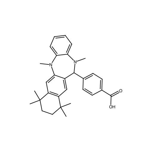 CN1c2cc3c(cc2C(c2ccc(C(=O)O)cc2)N(C)c2ccccc21)C(C)(C)CCC3(C)C